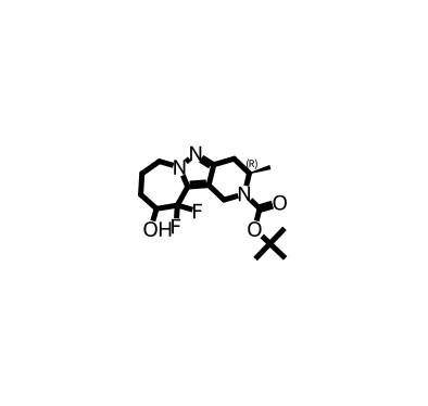 C[C@@H]1Cc2nn3c(c2CN1C(=O)OC(C)(C)C)C(F)(F)C(O)CCC3